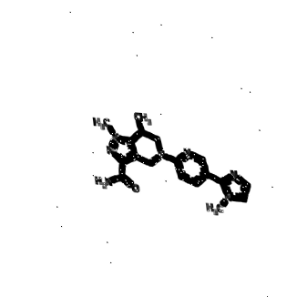 CC1CN(c2ccc(-c3nccn3C)cn2)Cc2c(C(N)=O)nn(C)c21